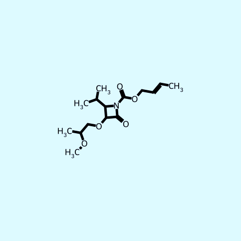 CC=CCOC(=O)N1C(=O)C(OCC(C)OC)C1C(C)C